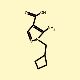 Nc1c(C(=O)O)cnn1CC1CCC1